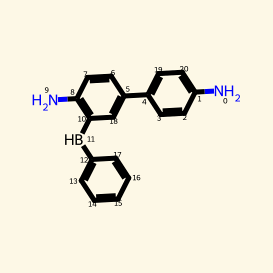 Nc1ccc(-c2ccc(N)c(Bc3ccccc3)c2)cc1